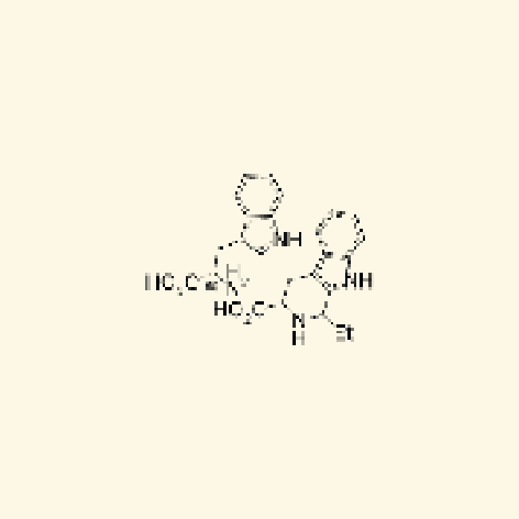 CCC1NC(C(=O)O)Cc2c1[nH]c1ccccc21.N[C@@H](Cc1c[nH]c2ccccc12)C(=O)O